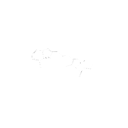 C[C@@H](O)[C@H]1C(=O)N2C(C(=O)O)=C(SCCc3cn4cccc(N)c4n3)[C@H](C)[C@H]12